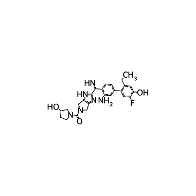 CCc1cc(O)c(F)cc1-c1ccc(C(=N)c2nc3c([nH]2)CN(C(=O)N2CCC(O)C2)C3)c(N)c1